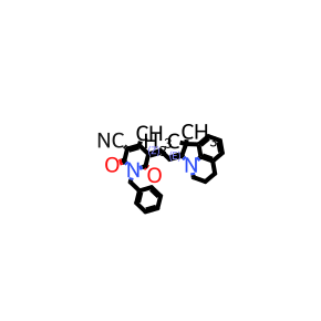 CC1=C(C#N)C(=O)N(Cc2ccccc2)C(=O)/C1=C\C=C1\N2CCCc3cccc(c32)C1(C)C